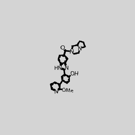 COc1ncccc1-c1ccc(O)c(-c2nc3cc(C(=O)N4CCN5CCCC5C4)ccc3[nH]2)c1